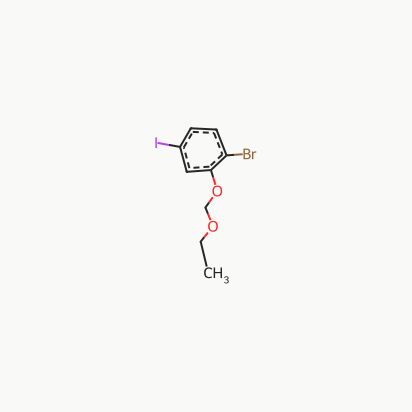 CCOCOc1cc(I)ccc1Br